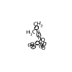 Cc1ccc(N2CCN(C(=O)c3ccc(N4CCCS4(=O)=O)cc3N3CCCS3(=O)=O)CC2)c(C)c1